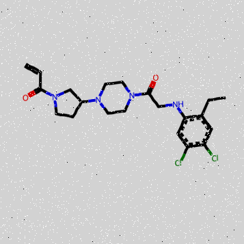 C=CC(=O)N1CCC(N2CCN(C(=O)CNc3cc(Cl)c(Cl)cc3CC)CC2)C1